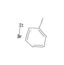 CCBr.Cc1ccccc1